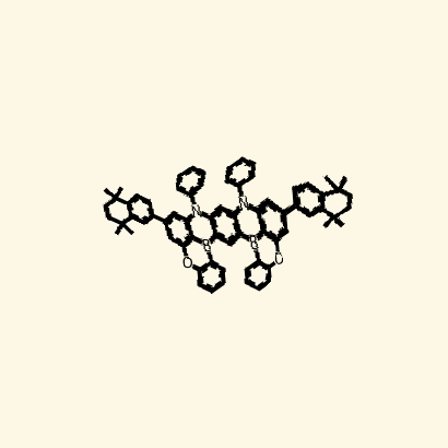 CC1(C)CCC(C)(C)c2cc(-c3cc4c5c(c3)N(c3ccccc3)c3cc6c(cc3B5c3ccccc3O4)B3c4ccccc4Oc4cc(-c5ccc7c(c5)C(C)(C)CCC7(C)C)cc(c43)N6c3ccccc3)ccc21